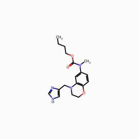 CCCCOC(=O)N(C)c1ccc2c(c1)N(Cc1c[nH]cn1)CCO2